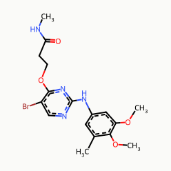 CNC(=O)CCOc1nc(Nc2cc(C)c(OC)c(OC)c2)ncc1Br